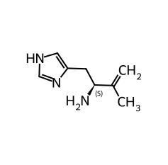 C=C(C)[C@@H](N)Cc1c[nH]cn1